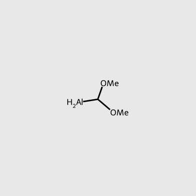 CO[CH]([AlH2])OC